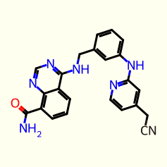 N#CCc1ccnc(Nc2cccc(CNc3ncnc4c(C(N)=O)cccc34)c2)c1